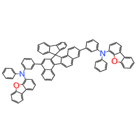 c1ccc(N(c2cccc(-c3ccc4c5c(ccc4c3)-c3c(cc(-c4cccc(N(c6ccccc6)c6cccc7c6oc6ccccc67)c4)c4ccccc34)C53c4ccccc4-c4ccccc43)c2)c2cccc3c2oc2ccccc23)cc1